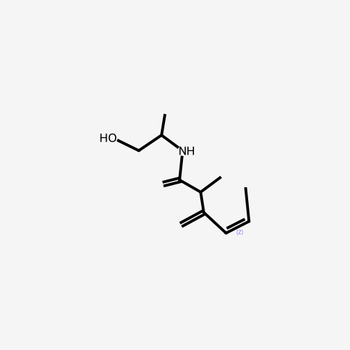 C=C(/C=C\C)C(C)C(=C)NC(C)CO